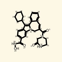 O=C1CN(C(=O)C2=Cc3ccccc3-c3c(C4CCCCC4)c4ccc(C(=O)NO)cc4n3C2)CCN1